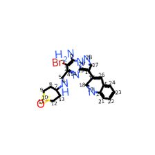 Nc1c(Br)c(CNC2CC[S+]([O-])CC2)nc2c(-c3cnc4ccccc4c3)cnn12